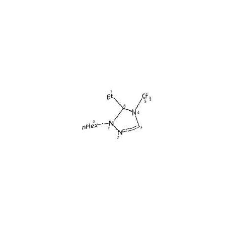 CCCCCCN1N=CN(C(F)(F)F)C1CC